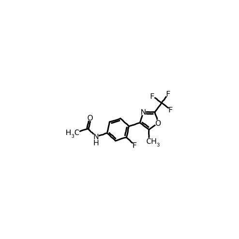 CC(=O)Nc1ccc(-c2nc(C(F)(F)F)oc2C)c(F)c1